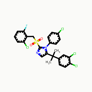 CC(C)(c1ccc(Cl)c(Cl)c1)c1cnc(S(=O)(=O)Cc2c(F)cccc2Cl)n1-c1ccc(Cl)cc1